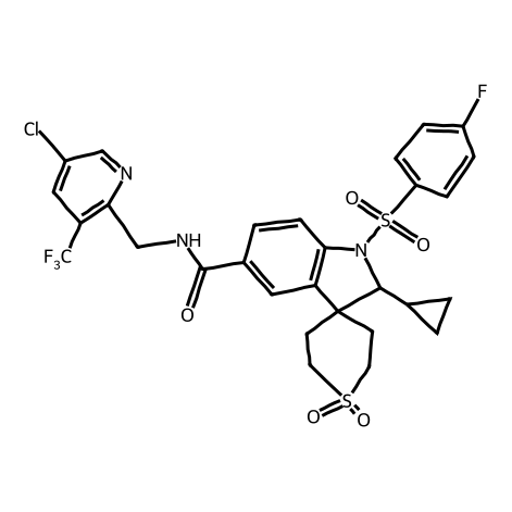 O=C(NCc1ncc(Cl)cc1C(F)(F)F)c1ccc2c(c1)C1(CCS(=O)(=O)CC1)C(C1CC1)N2S(=O)(=O)c1ccc(F)cc1